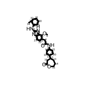 COc1c(CC(=O)Nc2ccc(C3CCCOC(=O)C3)cc2)ccc2nc(Nc3ccccc3C)[nH]c12